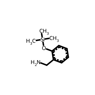 C[Si](C)(C)Oc1ccccc1CN